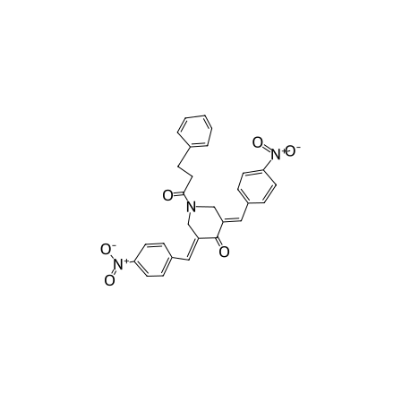 O=C1/C(=C/c2ccc([N+](=O)[O-])cc2)CN(C(=O)CCc2ccccc2)C/C1=C\c1ccc([N+](=O)[O-])cc1